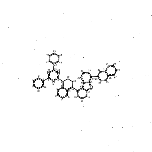 c1ccc(-c2nc(C3=c4ccccc4=C(c4cccc5oc6c(-c7ccc8ccccc8c7)cccc6c45)CC3)nc(-c3ccccc3)n2)cc1